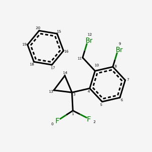 FC(F)C1(c2cccc(Br)c2CBr)CC1.c1ccccc1